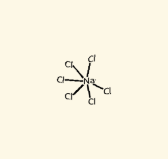 [Cl][Na]([Cl])([Cl])([Cl])([Cl])[Cl]